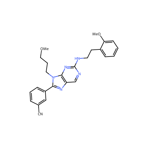 COCCCn1c(-c2cccc(C#N)c2)nc2cnc(NCCc3ccccc3OC)nc21